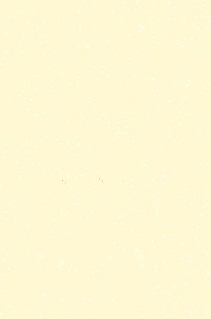 Cc1ccncc1N1CCc2ccc(C(F)(F)F)cc2C1=O